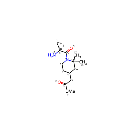 COC(=O)CC1CCN(C(=O)[C@H](C)N)C(C)(C)C1